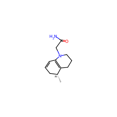 C[C@@H]1CC=CC2=C1CCCN2CC(N)=O